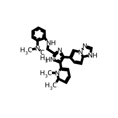 CC1C=CC=C(c2[nH]c(CNc3ccccc3N(C)C)nc2C2=CN3N=CNC3C=C2)N1C